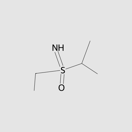 CCS(=N)(=O)C(C)C